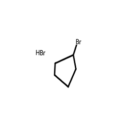 Br.BrC1CCCC1